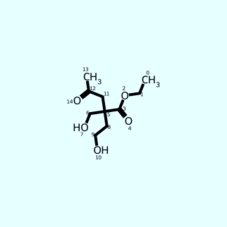 CCOC(=O)C(CO)(CCO)CC(C)=O